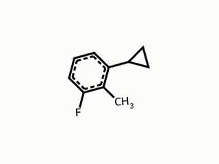 Cc1c(F)cccc1C1CC1